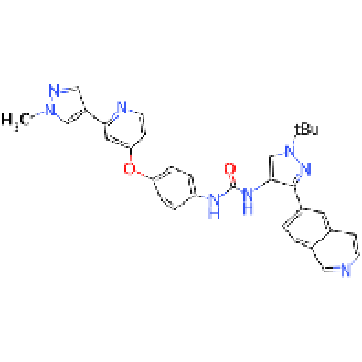 Cn1cc(-c2cc(Oc3ccc(NC(=O)Nc4cn(C(C)(C)C)nc4-c4ccc5cnccc5c4)cc3)ccn2)cn1